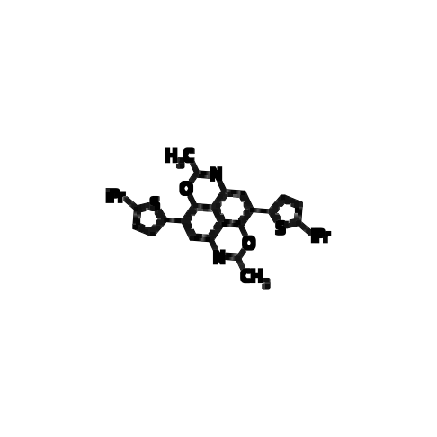 CC1=Nc2cc(-c3ccc(C(C)C)s3)c3c4c(cc(-c5ccc(C(C)C)s5)c(c24)O1)N=C(C)O3